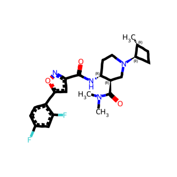 C[C@@H]1CC[C@H]1N1CC[C@@H](NC(=O)c2cc(-c3ccc(F)cc3F)on2)[C@H](C(=O)N(C)C)C1